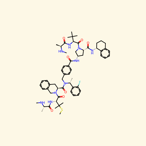 CN[C@@H](C)C(=O)N[C@H](C(=O)N1C[C@@H](NC(=O)c2ccc(CN(C(=O)[C@@H]3Cc4ccccc4CN3C(=O)[C@@H](NC(=O)[C@H](C)NC)C(C)(C)SC)[C@H](C)c3ccccc3F)cc2)C[C@H]1C(=O)N[C@@H]1CCCc2ccccc21)C(C)(C)C